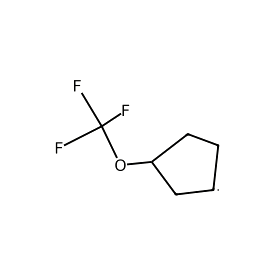 FC(F)(F)OC1C[CH]CC1